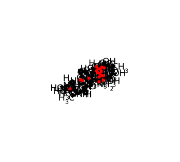 CC(C)C[C@H](NC(=O)[C@@H]1CCCN1C(=O)[C@H](Cc1ccccc1)NC(=O)[C@@H](NC(=O)[C@H](CO)NC(=O)[C@@H]1CCCN1C(=O)CNC(=O)[C@H](CCCCN)NC(=O)[C@@H](NC(=O)[C@H](CO)NC(=O)[C@H](C)NC(=O)[C@H](CO)NC(=O)[C@H](CO)NC(=O)[C@@H](NC(=O)[C@@H](NC(=O)[C@@H](NC(=O)[C@@H](N)CC(C)C)C(C)C)[C@@H](C)O)C(C)C)[C@@H](C)O)C(C)C)C(=O)N[C@@H](C)C(=O)N1CCC[C@H]1C(=O)N[C@@H](CO)C(=O)O